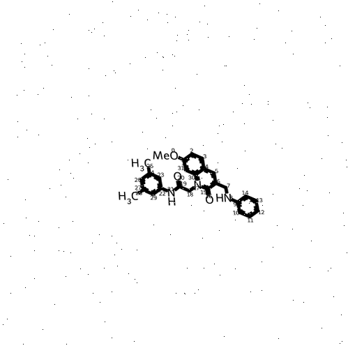 COc1ccc2cc(CNc3ccccc3)c(=O)n(CC(=O)Nc3cc(C)cc(C)c3)c2c1